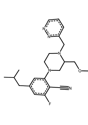 COCC1CN(c2cc(CC(C)C)cc(F)c2C#N)CCN1Cc1cccnn1